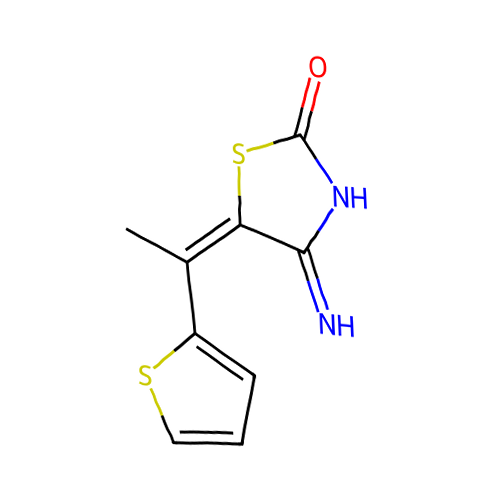 C/C(=C1\SC(=O)NC1=N)c1cccs1